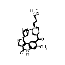 COCCCN1CCN(C(=O)c2cc3c(cc2C)[nH]c(=O)c2cnn(C4CCCC4)c23)C[C@H]1C